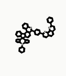 c1ccc(-c2ccc3ccc4ccc(-c5ccc(-c6nc7ccccc7c7c8c(ccc67)C6(c7ccccc7-8)c7ccccc7N(c7ccccc7)c7ccccc76)cc5)nc4c3n2)cc1